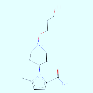 Cc1ccc(C(N)=O)n1C1CCN(OCCCO)CC1